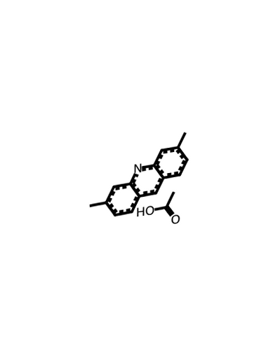 CC(=O)O.Cc1ccc2cc3ccc(C)cc3nc2c1